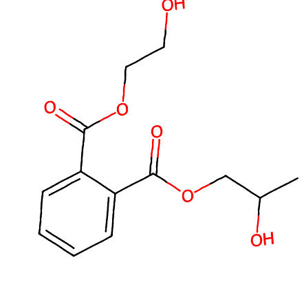 CC(O)COC(=O)c1ccccc1C(=O)OCCO